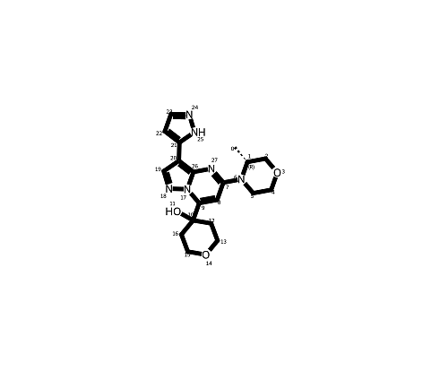 C[C@@H]1COCCN1c1cc(C2(O)CCOCC2)n2ncc(-c3ccn[nH]3)c2n1